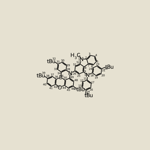 Cn1c2ccccc2c2c(N(c3ccc(C(C)(C)C)cc3)c3ccc(C(C)(C)C)cc3)cc(N3c4ccc(C(C)(C)C)cc4B4c5cc(C(C)(C)C)ccc5Oc5cc(C(C)(C)C)cc3c54)cc21